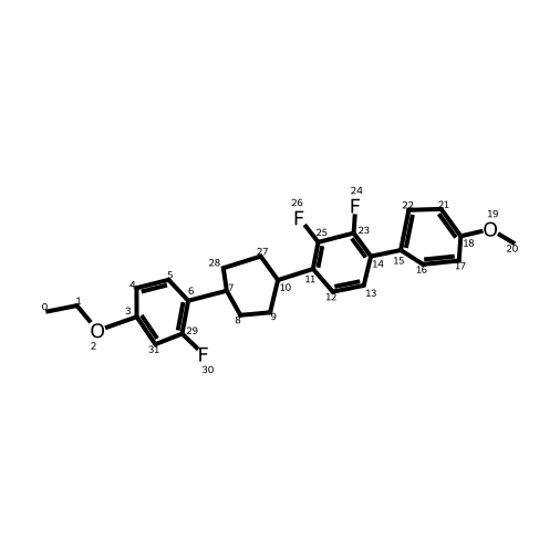 CCOc1ccc(C2CCC(c3ccc(-c4ccc(OC)cc4)c(F)c3F)CC2)c(F)c1